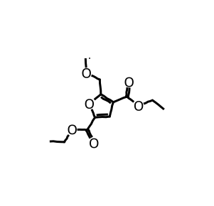 [CH2]OCc1oc(C(=O)OCC)cc1C(=O)OCC